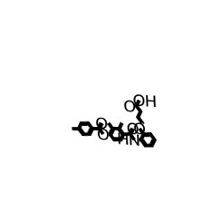 Cc1ccc(C(=O)Oc2ccc(C(=O)Nc3ccccc3OCCCC(=O)O)c(C)c2C)cc1